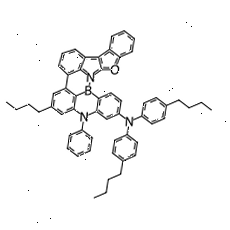 CCCCc1ccc(N(c2ccc(CCCC)cc2)c2ccc3c(c2)N(c2ccccc2)c2cc(CCCC)cc4c2B3n2c3oc5ccccc5c3c3cccc-4c32)cc1